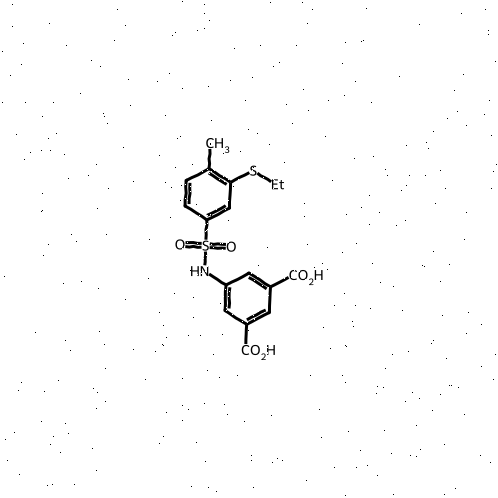 CCSc1cc(S(=O)(=O)Nc2cc(C(=O)O)cc(C(=O)O)c2)ccc1C